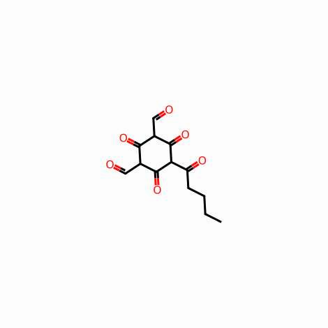 CCCCC(=O)C1C(=O)C(C=O)C(=O)C(C=O)C1=O